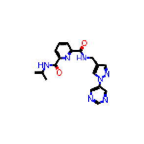 CC(C)NC(=O)c1cccc(C(=O)NCc2cnn(-c3cncnc3)c2)n1